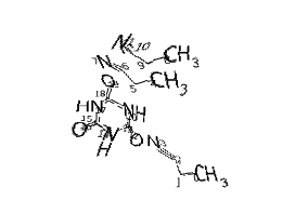 CCC#N.CCC#N.CCC#N.O=c1[nH]c(=O)[nH]c(=O)[nH]1